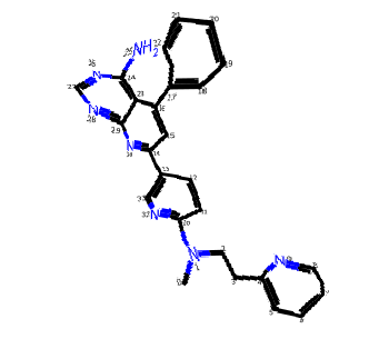 CN(CCc1ccccn1)c1ccc(-c2cc(-c3ccccc3)c3c(N)ncnc3n2)cn1